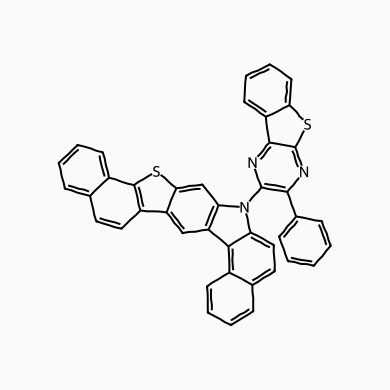 c1ccc(-c2nc3sc4ccccc4c3nc2-n2c3cc4sc5c6ccccc6ccc5c4cc3c3c4ccccc4ccc32)cc1